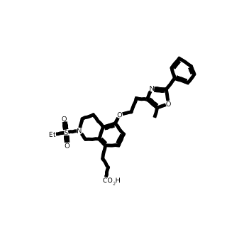 CCS(=O)(=O)N1CCc2c(OCCc3nc(-c4ccccc4)oc3C)ccc(CCC(=O)O)c2C1